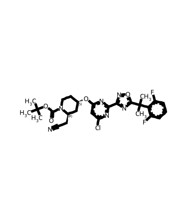 CC(C)(C)OC(=O)N1CC[C@H](Oc2cc(Cl)nc(-c3noc(C(C)(C)c4c(F)cccc4F)n3)n2)C[C@H]1CC#N